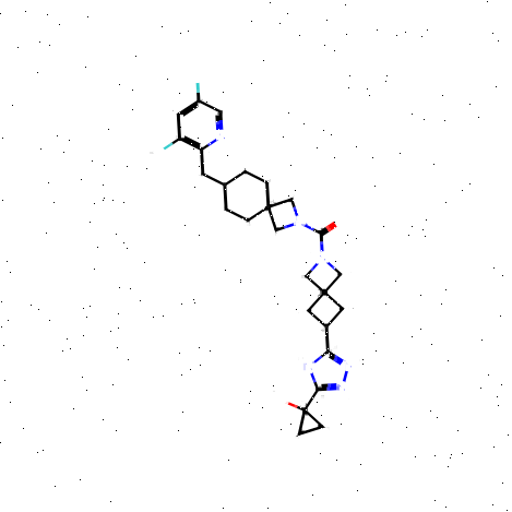 O=C(N1CC2(CCC(Cc3ncc(F)cc3F)CC2)C1)N1CC2(CC(c3nnc(C4(O)CC4)[nH]3)C2)C1